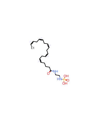 CC/C=C\C/C=C\C/C=C\C/C=C\C/C=C\CCCC(=O)NCCNP(=O)(O)O